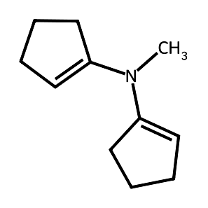 CN(C1=CCCC1)C1=CCCC1